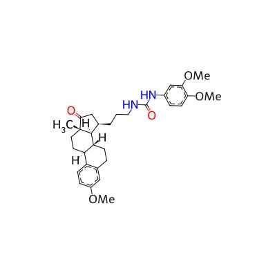 COc1ccc2c(c1)CC[C@H]1[C@@H]3[C@H](CCCNC(=O)Nc4ccc(OC)c(OC)c4)CC(=O)[C@@]3(C)CC[C@H]21